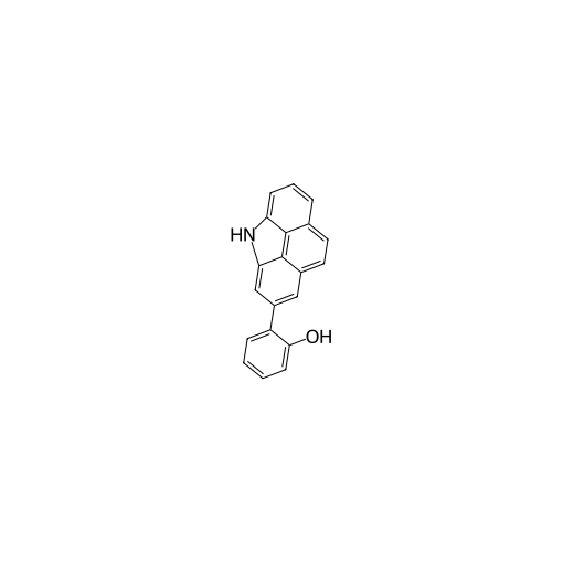 Oc1ccccc1-c1cc2ccc3cccc4[nH]c(c1)c2c34